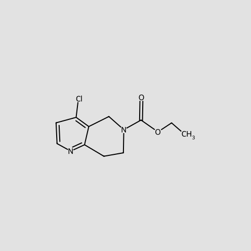 CCOC(=O)N1CCc2nccc(Cl)c2C1